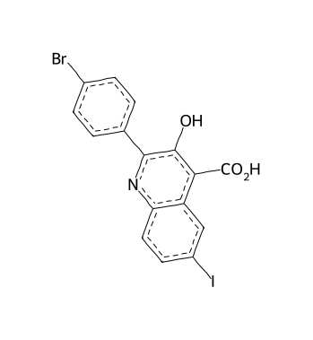 O=C(O)c1c(O)c(-c2ccc(Br)cc2)nc2ccc(I)cc12